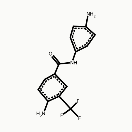 Nc1ccc(NC(=O)c2ccc(N)c(C(F)(F)F)c2)cc1